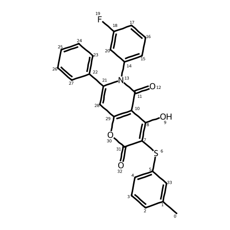 Cc1cccc(Sc2c(O)c3c(=O)n(-c4cccc(F)c4)c(-c4ccccc4)cc3oc2=O)c1